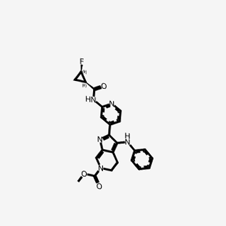 COC(=O)N1C=C2N=C(c3ccnc(NC(=O)[C@H]4C[C@H]4F)c3)C(Nc3ccccc3)=C2CC1